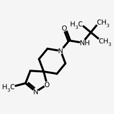 CC1=NOC2(CCN(C(=O)NC(C)(C)C)CC2)C1